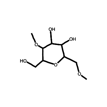 COCC1OC(CO)C(OC)C(O)C1O